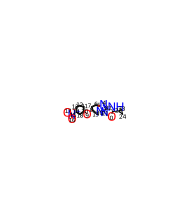 O=C(Nc1nc2ccc(Oc3cccc([N+](=O)[O-])c3)cn2n1)C1CC1